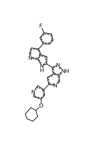 Fc1cccc(-c2ccnc3[nH]c(-c4n[nH]c5cnc(-c6cncc(OC7CCCCC7)c6)cc45)cc23)c1